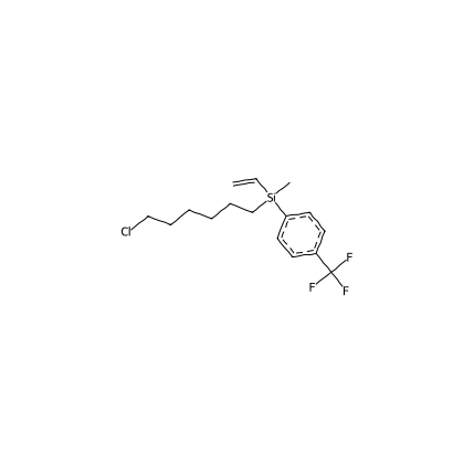 C=C[Si](C)(CCCCCCCl)c1ccc(C(F)(F)F)cc1